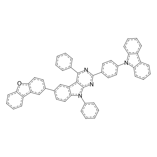 c1ccc(-c2nc(-c3ccc(-n4c5ccccc5c5ccccc54)cc3)nc3c2c2cc(-c4ccc5oc6ccccc6c5c4)ccc2n3-c2ccccc2)cc1